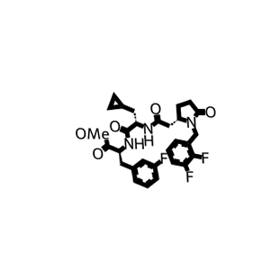 COC(=O)[C@H](Cc1cccc(F)c1)NC(=O)[C@H](CC1CC1)NC(=O)C[C@@H]1CCC(=O)N1Cc1cccc(F)c1F